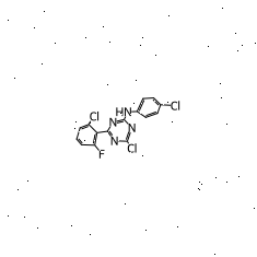 Fc1cccc(Cl)c1-c1nc(Cl)nc(Nc2ccc(Cl)cc2)n1